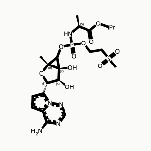 CC(C)OC(=O)[C@H](C)NP(=O)(OCCS(C)(=O)=O)OC1[C@@]2(C)O[C@@H](c3ccc4c(N)ncnn34)[C@H](O)[C@@]12O